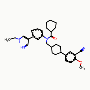 CCN/C=C(\C=N)c1cccc(N(CC2CCC(c3ccc(OC)c(C#N)c3)CC2)C(=O)C2CCCCC2)c1